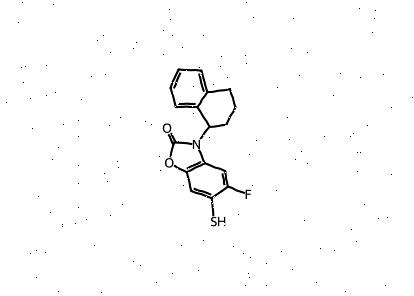 O=c1oc2cc(S)c(F)cc2n1C1CCCc2ccccc21